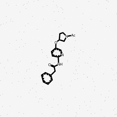 CC(=O)N1CCC(Oc2ccc(NC(=O)Cc3ccccc3)nc2)C1